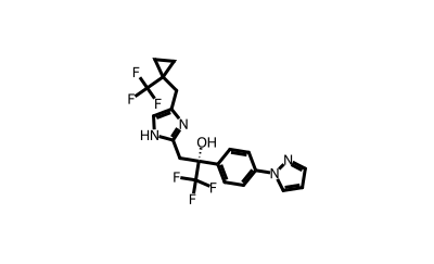 O[C@](Cc1nc(CC2(C(F)(F)F)CC2)c[nH]1)(c1ccc(-n2cccn2)cc1)C(F)(F)F